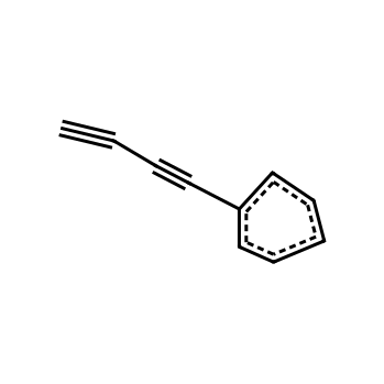 C#CC#Cc1ccccc1